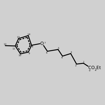 CCOC(=O)CCCCCCOc1ccc(C)cc1